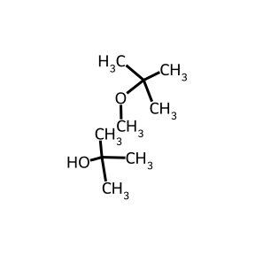 CC(C)(C)O.COC(C)(C)C